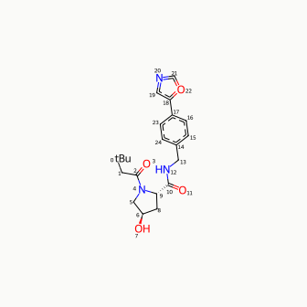 CC(C)(C)CC(=O)N1C[C@H](O)C[C@H]1C(=O)NCc1ccc(-c2cnco2)cc1